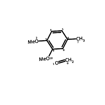 C=O.COc1ccc(C)cc1OC